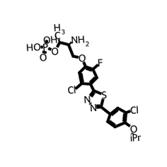 CC(C)Oc1ccc(-c2nnc(-c3cc(F)c(OC[C@H](N)[C@H](C)OP(=O)(O)O)cc3Cl)s2)cc1Cl